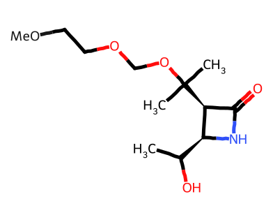 COCCOCOC(C)(C)[C@H]1C(=O)N[C@H]1C(C)O